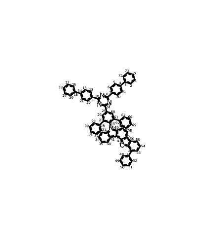 c1ccc(-c2ccc(-c3nc(-c4ccc(-c5ccccc5)cc4)nc(-c4cc(-c5ccccc5)c(-n5c6ccccc6c6c7oc8c(-c9ccccc9)cccc8c7ccc65)c(-c5ccccc5)c4)n3)cc2)cc1